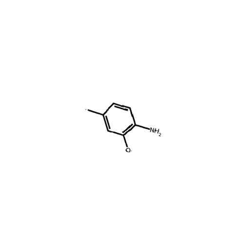 [CH2]c1ccc(N)c([O])c1